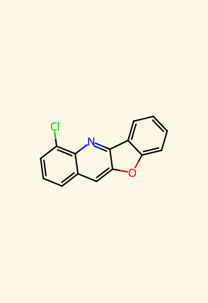 Clc1cccc2cc3oc4ccccc4c3nc12